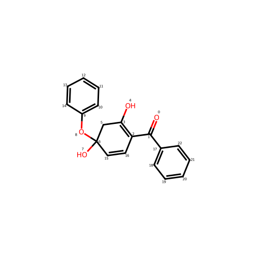 O=C(C1=C(O)CC(O)(Oc2ccccc2)C=C1)c1ccccc1